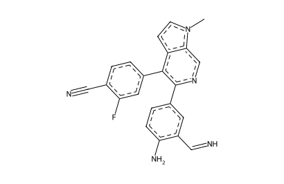 Cn1ccc2c(-c3ccc(C#N)c(F)c3)c(-c3ccc(N)c(C=N)c3)ncc21